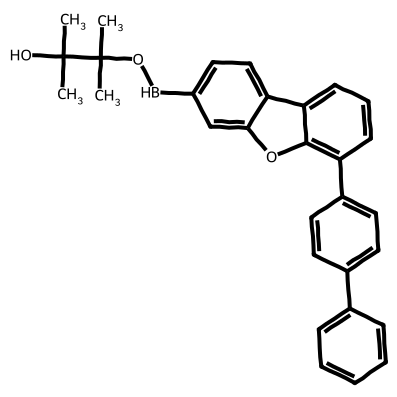 CC(C)(O)C(C)(C)OBc1ccc2c(c1)oc1c(-c3ccc(-c4ccccc4)cc3)cccc12